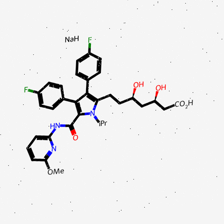 COc1cccc(NC(=O)c2c(-c3ccc(F)cc3)c(-c3ccc(F)cc3)c(CC[C@@H](O)C[C@@H](O)CC(=O)O)n2C(C)C)n1.[NaH]